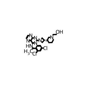 C[C@@H](Nc1nc(N2CC([C@H]3CCCN(CCO)C3)C2)nc2nccnc12)c1ccc(Cl)cc1Cl